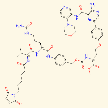 COC(=O)[C@@H](CCOc1ccc(-c2cnc(N)c(C(=O)Nc3cnccc3N3CCOCC3)n2)cc1)NC(=O)OCc1ccc(NC(=O)[C@H](CCCNC(N)=O)NC(=O)[C@@H](NC(=O)CCCCCN2C(=O)C=CC2=O)C(C)C)cc1